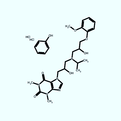 COc1ccccc1OCC(O)CN(CC(O)Cn1cnc2c1c(=O)n(C)c(=O)n2C)C(C)C.Cl.Cl.Oc1ccccc1